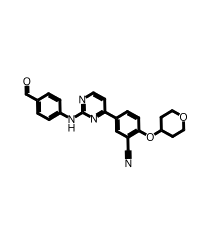 N#Cc1cc(-c2ccnc(Nc3ccc(C=O)cc3)n2)ccc1OC1CCOCC1